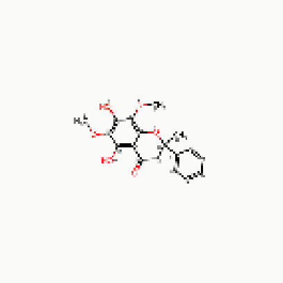 COc1c(O)c(OC)c2c(c1O)C(=O)CC(C)(c1ccccc1)O2